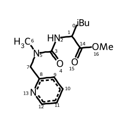 CCC(C)C(NC(=O)N(C)Cc1ccccn1)C(=O)OC